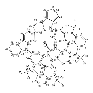 CC(C)(C)Cc1cccc(CC(C)(C)C)c1B1c2ccc(N3c4ccccc4C4C=CC=CC43)cc2N2C(=O)N3c4cc(-n5c6ccccc6c6ccccc65)ccc4B(c4c(CC(C)(C)C)cccc4CC(C)(C)C)c4ccc5ccc1c2c5c43